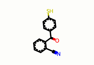 N#Cc1ccccc1C(=O)c1ccc(S)cc1